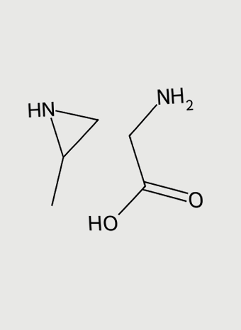 CC1CN1.NCC(=O)O